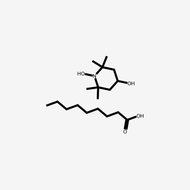 CC1(C)CC(O)CC(C)(C)N1O.CCCCCCCCC(=O)O